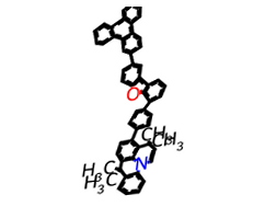 CC1(C)C=CN2c3ccccc3C(C)(C)c3ccc(-c4ccc(-c5cccc6c5oc5ccc(-c7ccc8c9ccccc9c9ccccc9c8c7)cc56)cc4)c1c32